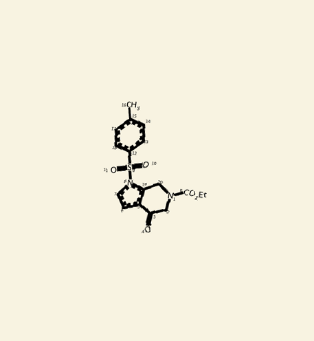 CCOC(=O)N1CC(=O)c2ccn(S(=O)(=O)c3ccc(C)cc3)c2C1